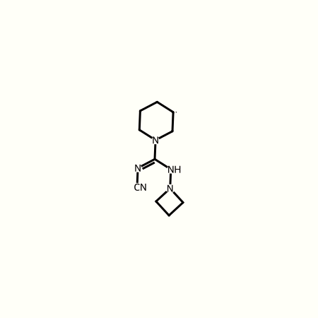 N#CN=C(NN1CCC1)N1C[CH]CCC1